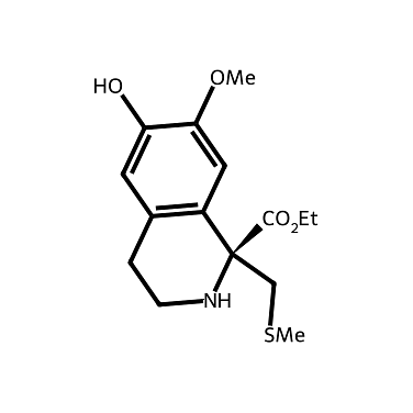 CCOC(=O)[C@@]1(CSC)NCCc2cc(O)c(OC)cc21